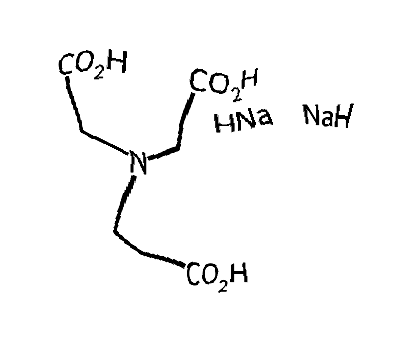 O=C(O)CN(CC(=O)O)CC(=O)O.[NaH].[NaH]